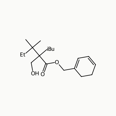 CCC(C)C(CO)(C(=O)OCC1=CC=CCC1)C(C)(C)CC